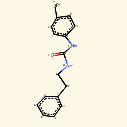 CCCc1ccc(NC(=O)NCCc2ccccc2)cc1